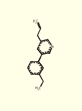 C=CCc1cncc(-c2cccc(CC)c2)c1